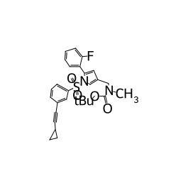 CN(Cc1cc(-c2ccccc2F)n(S(=O)(=O)c2cccc(C#CC3CC3)c2)c1)C(=O)OC(C)(C)C